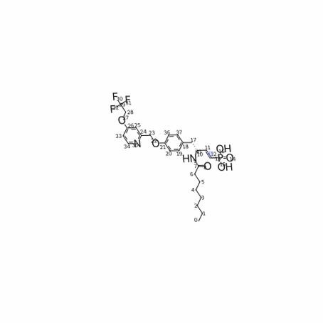 CCCCCCCC(=O)N[C@@H](/C=C/P(=O)(O)O)Cc1ccc(OCc2cc(OCC(F)(F)F)ccn2)cc1